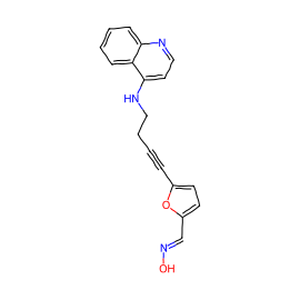 ON=Cc1ccc(C#CCCNc2ccnc3ccccc23)o1